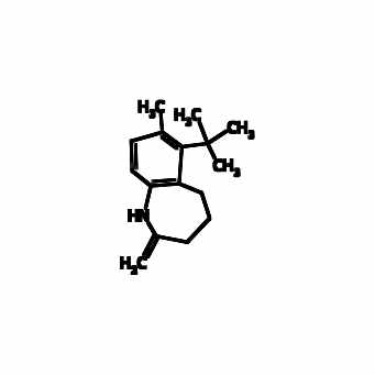 C=C1CCCc2c(ccc(C)c2C(C)(C)C)N1